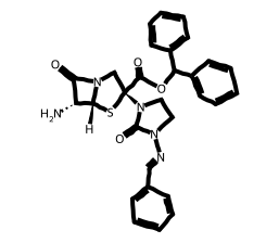 N[C@@H]1C(=O)N2C[C@@](C(=O)OC(c3ccccc3)c3ccccc3)(N3CCN(N=Cc4ccccc4)C3=O)S[C@H]12